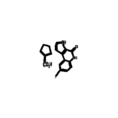 O=C(O)C1CCCC1.O=c1[nH]c2ccc(I)cc2c2cc[nH]c12